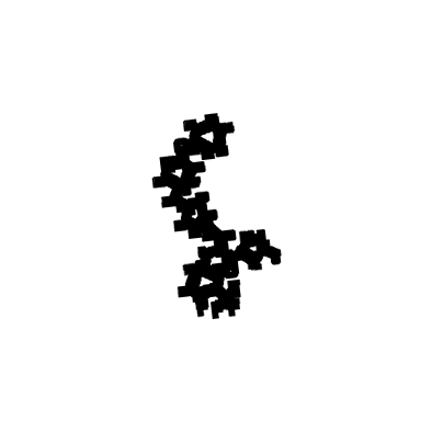 Cn1cnc(C(=O)N(Cc2ccc(F)c(C(F)(F)F)c2)CC2C3CN(Cc4ccc(Oc5ccccc5)nc4)CC32)c1